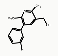 COc1nc(C)c(CO)cc1-c1cccc(Cl)c1